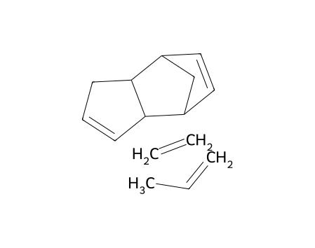 C1=CC2C3C=CC(C3)C2C1.C=C.C=CC